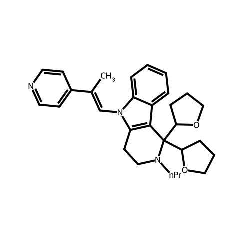 CCCN1CCc2c(c3ccccc3n2/C=C(\C)c2ccncc2)C1(C1CCCO1)C1CCCO1